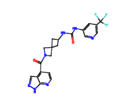 O=C(Nc1cncc(C(F)(F)F)c1)NC1CC2(C1)CN(C(=O)c1ccnc3[nH]ncc13)C2